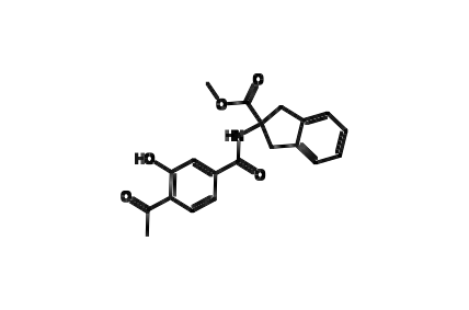 COC(=O)C1(NC(=O)c2ccc(C(C)=O)c(O)c2)Cc2ccccc2C1